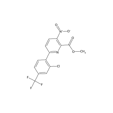 COC(=O)c1nc(-c2ccc(C(F)(F)F)cc2Cl)ccc1[N+](=O)[O-]